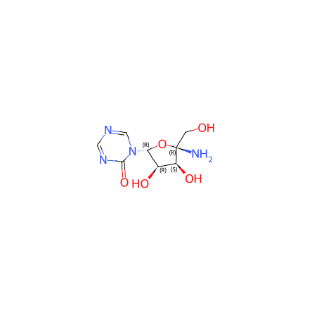 N[C@]1(CO)O[C@@H](n2cncnc2=O)[C@H](O)[C@@H]1O